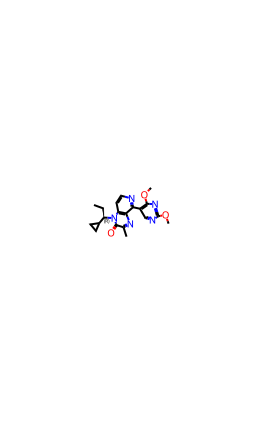 CC[C@H](C1CC1)n1c(=O)c(C)nc2c(-c3cnc(OC)nc3OC)nccc21